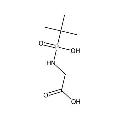 CC(C)(C)P(=O)(O)NCC(=O)O